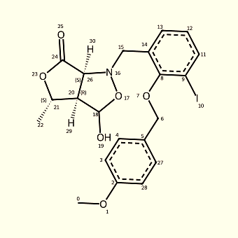 COc1ccc(COc2c(I)cccc2CN2OC(O)[C@H]3[C@H](C)OC(=O)[C@H]32)cc1